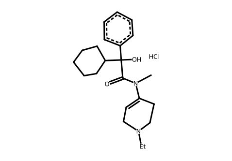 CCN1CC=C(N(C)C(=O)C(O)(c2ccccc2)C2CCCCC2)CC1.Cl